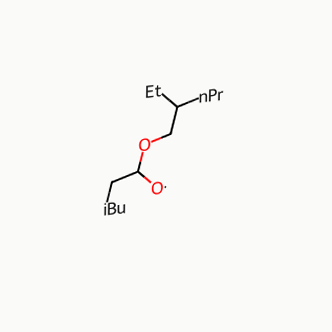 CCCC(CC)COC([O])CC(C)CC